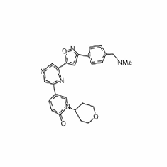 CNCc1ccc(-c2cc(-c3cncc(-c4ccc(=O)n(C5CCOCC5)c4)n3)on2)cc1